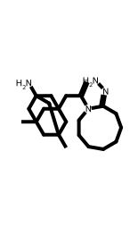 C=C(CC12CC3(C)CC(C)(CC(N)(C3)C1)C2)N1CCCCCCC/C1=N/N